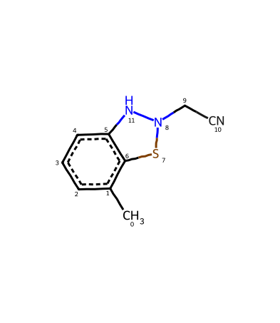 Cc1cccc2c1SN(CC#N)N2